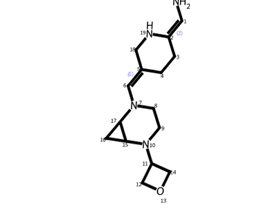 N/C=C1/CC/C(=C\N2CCN(C3COC3)C3CC32)CN1